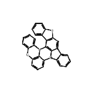 c1ccc2c(c1)Oc1cccc3c1B2c1c2c(cc4c5ccccc5n-3c14)oc1ccccc12